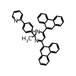 CC1(c2ccc(-c3ccccn3)cc2)N=C(c2cc3ccccc3c3ccccc23)C=C(c2cc3ccccc3c3ccccc23)N1